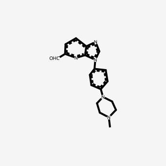 CN1CCN(c2ccc(-n3cnc4ccc(C=O)nc43)cc2)CC1